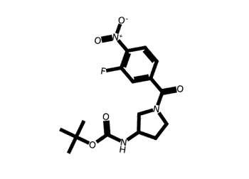 CC(C)(C)OC(=O)NC1CCN(C(=O)c2ccc([N+](=O)[O-])c(F)c2)C1